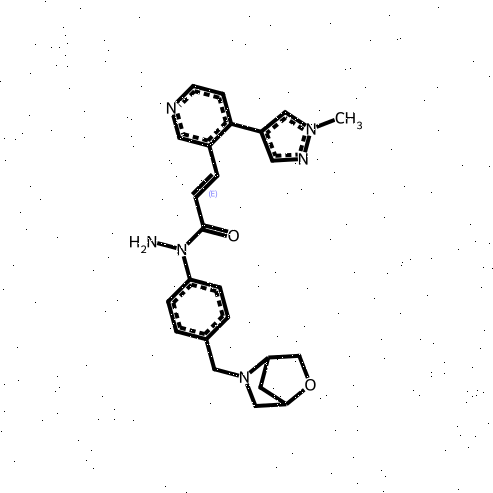 Cn1cc(-c2ccncc2/C=C/C(=O)N(N)c2ccc(CN3CC4CC3CO4)cc2)cn1